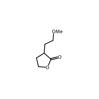 COCCC1CCOC1=O